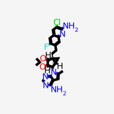 Cc1cc2c(N)ncnc2n1[C@H]1[C@@H]2OC(C)(C)O[C@@H]2[C@]2(CCc3cc4nc(N)c(Cl)cc4cc3F)C[C@H]12